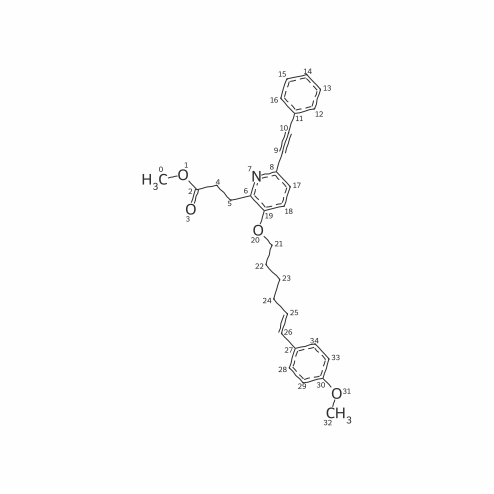 COC(=O)CCc1nc(C#Cc2ccccc2)ccc1OCCCC/C=C/c1ccc(OC)cc1